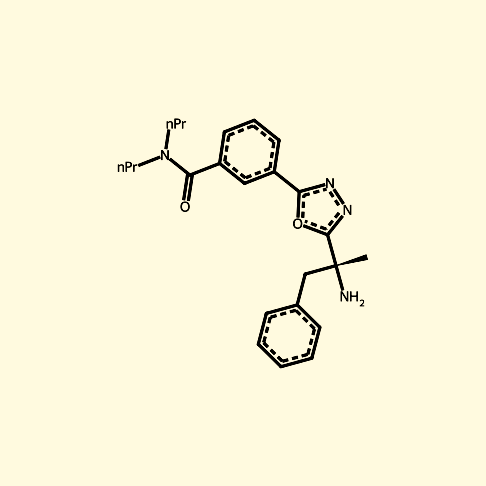 CCCN(CCC)C(=O)c1cccc(-c2nnc([C@](C)(N)Cc3ccccc3)o2)c1